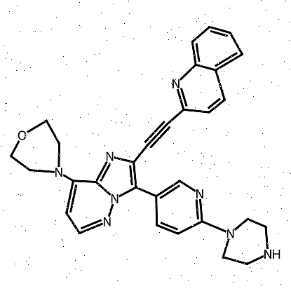 C(#Cc1nc2c(N3CCOCC3)ccnn2c1-c1ccc(N2CCNCC2)nc1)c1ccc2ccccc2n1